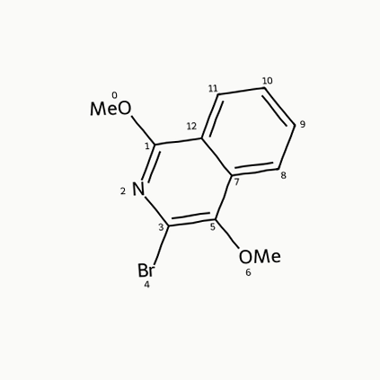 COc1nc(Br)c(OC)c2ccccc12